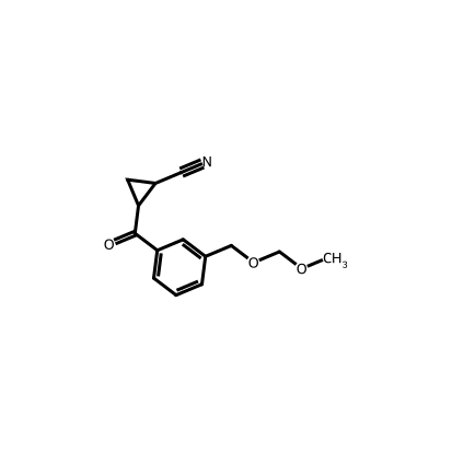 COCOCc1cccc(C(=O)C2CC2C#N)c1